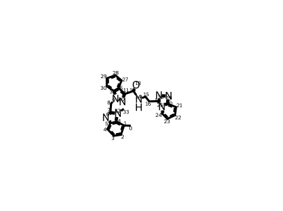 Cc1cccc2nc(Cn3nc(C(=O)NCCc4nnc5ccccn45)c4ccccc43)n(C)c12